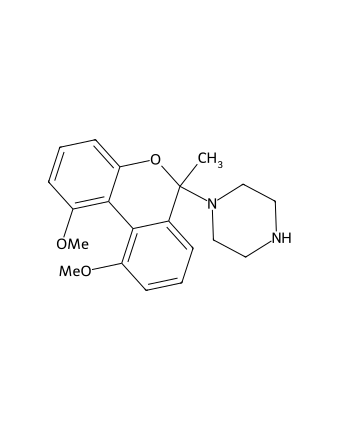 COc1cccc2c1-c1c(OC)cccc1C(C)(N1CCNCC1)O2